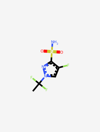 CC(F)(F)n1cc(F)c(S(N)(=O)=O)n1